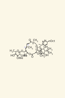 CCCCCCCCC1C=CN(CC[C@H]2C[C@@H](C)C(=O)/C=C/C(C)=C/[C@H](CO[C@@H]3OC(C)[C@@H](O)[C@H](OC)C3OC)[C@@H](CC)OC(=O)C[C@@H](O)[C@H](C)[C@H]2O[C@@H]2O[C@H](C)[C@@H](O)C(N(C)C)C2O)N=N1